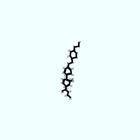 CCCC1CCC(CCc2ccc(-c3ccc(C(C)CCC)cc3F)cc2)CC1